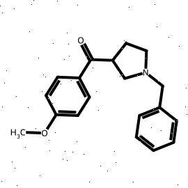 COc1ccc(C(=O)C2[CH]CN(Cc3ccccc3)C2)cc1